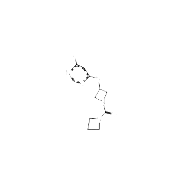 Cc1cc(NC2CN(C(=O)N3CCC3)C2)ncn1